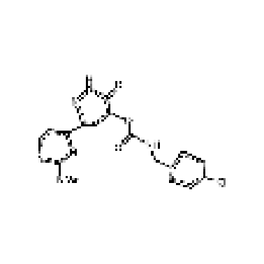 CNc1nccc(-c2cc(OC(=O)NCc3ccc(Cl)cc3)c(=O)[nH]n2)n1